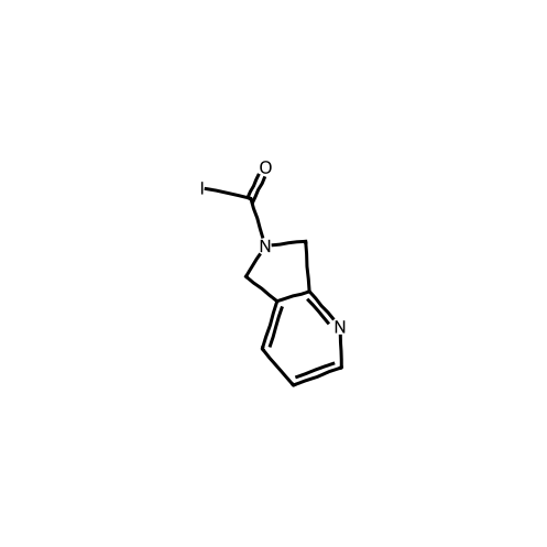 O=C(I)N1Cc2cccnc2C1